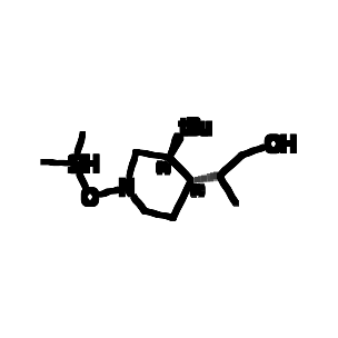 CC(CO)[C@@H]1CCN(O[SiH](C)C)C[C@H]1C(C)(C)C